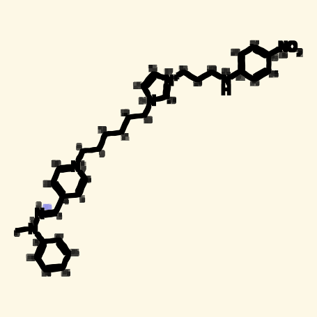 CN(/N=C/c1cc[n+](CCCCCCn2cc[n+](CCCNc3ccc([N+](=O)[O-])cc3)c2)cc1)c1ccccc1